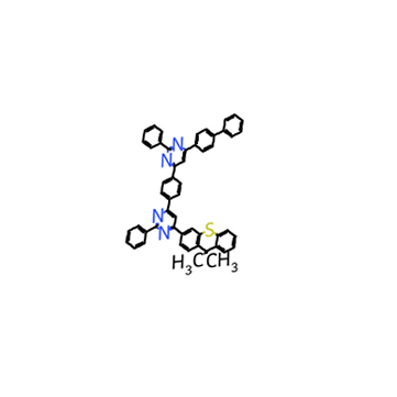 CC1(C)c2ccccc2Sc2cc(-c3cc(-c4ccc(-c5cc(-c6ccc(-c7ccccc7)cc6)nc(-c6ccccc6)n5)cc4)nc(-c4ccccc4)n3)ccc21